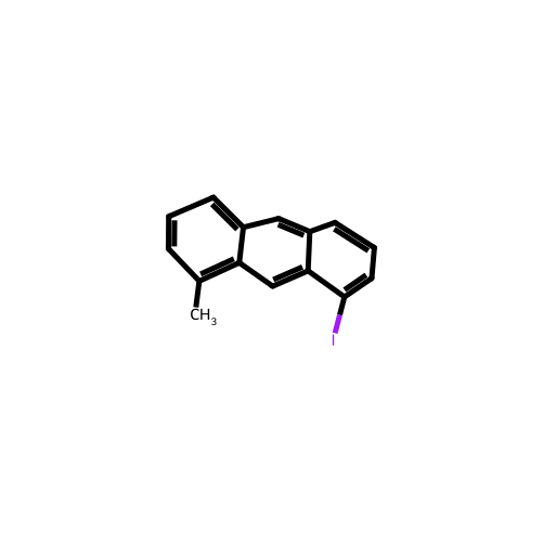 Cc1cccc2cc3cccc(I)c3cc12